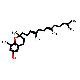 C/C(=C\CCC1(C)CCc2cc(O)cc(C)c2O1)CC/C=C(\C)CCCC(C)C